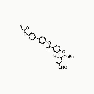 C=CC(=O)Oc1ccc(-c2ccc(OC(=O)c3ccc(OC(CCCC)C(O)CC(=C)C=O)cc3)cc2)cc1